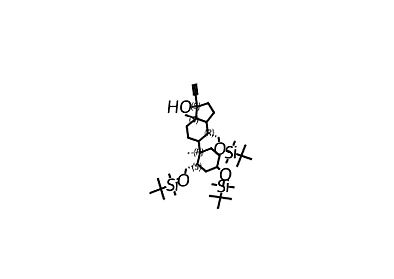 C#C[C@]1(O)CCC2[C@H](CO[Si](C)(C)C(C)(C)C)C([C@@]3(C)CCC(O[Si](C)(C)C(C)(C)C)C[C@@H]3CO[Si](C)(C)C(C)(C)C)CC[C@@]21C